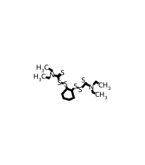 CCN(CC)C(=S)SSC1CCCCC1SSC(=S)N(CC)CC